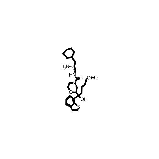 COCCCCC(O)(c1cccc2ccsc12)C1CN(C(=O)NC[C@@H](N)CC2CCCCC2)CCO1